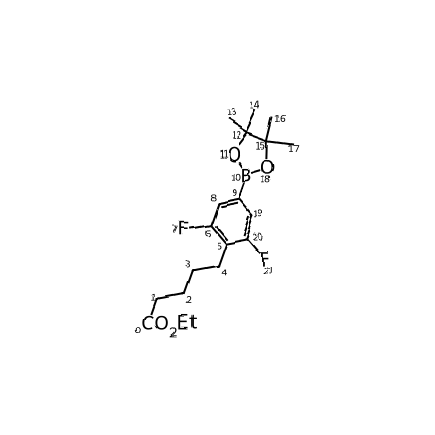 CCOC(=O)CCCCc1c(F)cc(B2OC(C)(C)C(C)(C)O2)cc1F